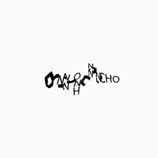 CC(CCn1cncc1N(C)C=O)NC(=O)c1ncn(Cc2ccccc2)n1